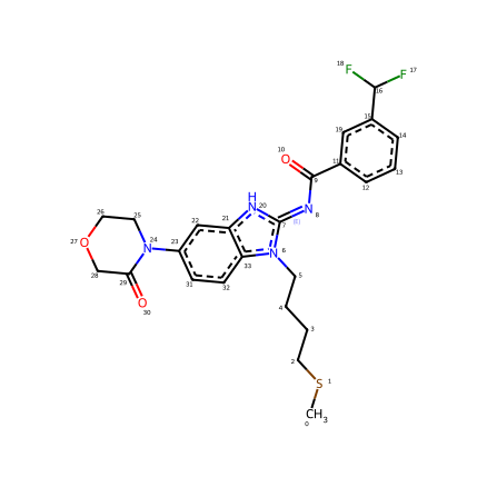 CSCCCCn1/c(=N/C(=O)c2cccc(C(F)F)c2)[nH]c2cc(N3CCOCC3=O)ccc21